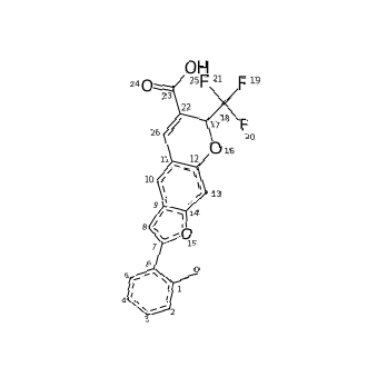 Cc1ccccc1-c1cc2cc3c(cc2o1)OC(C(F)(F)F)C(C(=O)O)=C3